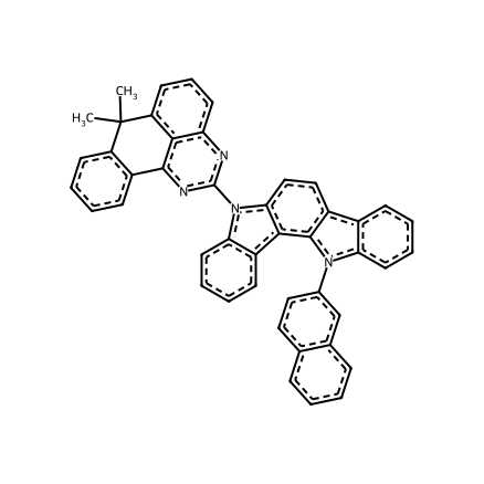 CC1(C)c2ccccc2-c2nc(-n3c4ccccc4c4c3ccc3c5ccccc5n(-c5ccc6ccccc6c5)c34)nc3cccc1c23